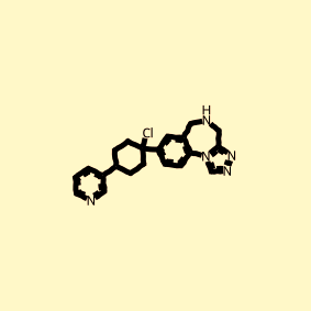 ClC1(c2ccc3c(c2)CNCc2nncn2-3)CCC(c2cccnc2)CC1